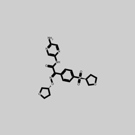 Nc1cnc(NC(=O)/C(=N/O[C@@H]2CCOC2)c2ccc(S(=O)(=O)[C@H]3CCOC3)cc2)cn1